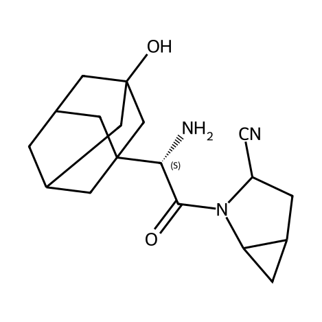 N#CC1CC2CC2N1C(=O)[C@@H](N)C12CC3CC(CC(O)(C3)C1)C2